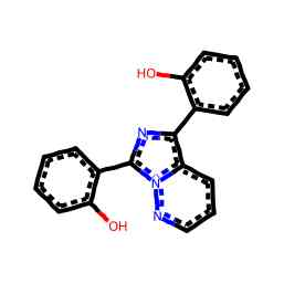 Oc1ccccc1-c1nc(-c2ccccc2O)n2ncccc12